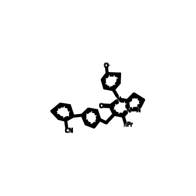 CCCc1c(Cc2ccc(-c3ccccc3C#N)cc2)c(=O)n(-c2ccc([O])cc2)c2ccnn12